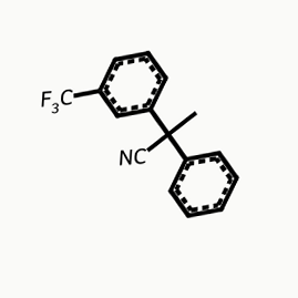 CC(C#N)(c1ccccc1)c1cccc(C(F)(F)F)c1